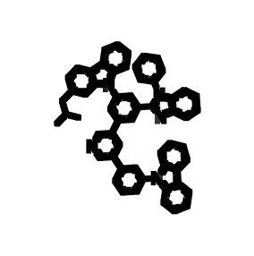 CC(C)Cc1ccc2c3ccccc3n(-c3cc(-c4cncc(-c5cccc(-n6c7ccccc7c7ccccc76)c5)c4)cc(-c4nc5ccccc5n4-c4ccccc4)c3)c2c1